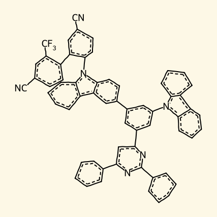 N#Cc1ccc(-n2c3ccccc3c3cc(-c4cc(-c5cc(-c6ccccc6)nc(-c6ccccc6)n5)cc(-n5c6ccccc6c6ccccc65)c4)ccc32)c(-c2ccc(C#N)cc2C(F)(F)F)c1